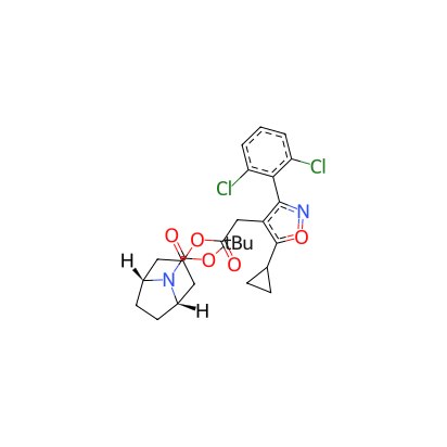 CC(C)(C)OC(=O)N1[C@@H]2CC[C@H]1CC(OC(=O)Cc1c(-c3c(Cl)cccc3Cl)noc1C1CC1)C2